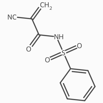 C=C(C#N)C(=O)NS(=O)(=O)c1ccccc1